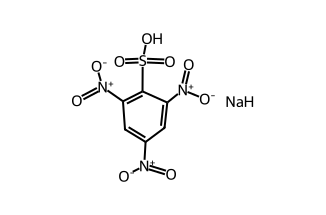 O=[N+]([O-])c1cc([N+](=O)[O-])c(S(=O)(=O)O)c([N+](=O)[O-])c1.[NaH]